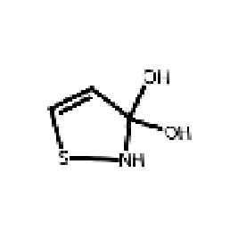 OC1(O)C=CSN1